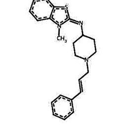 Cn1c(=NC2CCN(CC=Cc3ccccc3)CC2)sc2ccccc21